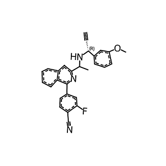 C#C[C@@H](NC(C)c1cc2ccccc2c(-c2ccc(C#N)c(F)c2)n1)c1cccc(OC)c1